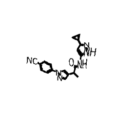 CC(C(=O)Nc1cc(C2CC2)n[nH]1)c1cnn(-c2ccc(C#N)cc2)c1